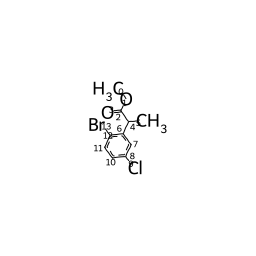 COC(=O)C(C)c1cc(Cl)ccc1Br